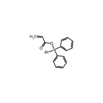 C=CC(=O)O[Si](c1ccccc1)(c1ccccc1)C(C)C